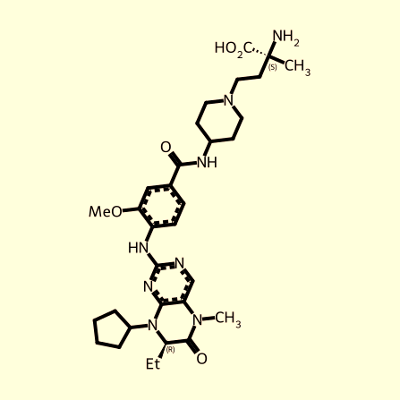 CC[C@@H]1C(=O)N(C)c2cnc(Nc3ccc(C(=O)NC4CCN(CC[C@](C)(N)C(=O)O)CC4)cc3OC)nc2N1C1CCCC1